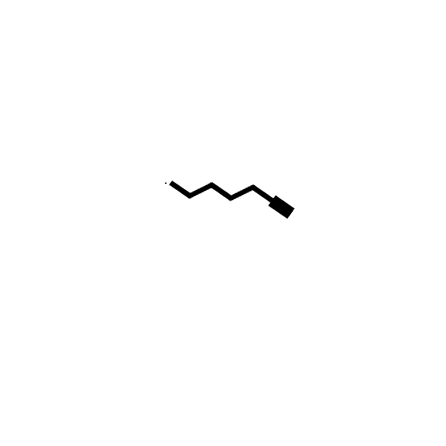 C#CCCCC[CH2]